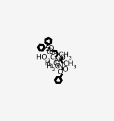 C[C@H](CCO[Si](c1ccccc1)(c1ccccc1)C(C)(C)C)[C@@H](C(=O)O)N(C)C(=O)[C@@H](C)N(C)C(=O)OCc1ccccc1